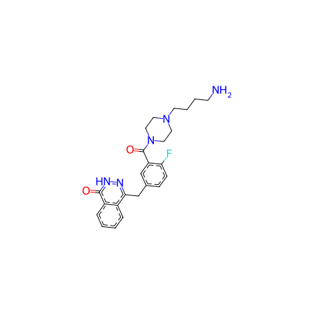 NCCCCN1CCN(C(=O)c2cc(Cc3n[nH]c(=O)c4ccccc34)ccc2F)CC1